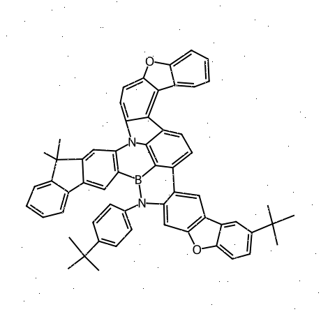 CC(C)(C)c1ccc(N2B3c4cc5c(cc4-n4c6ccc7oc8ccccc8c7c6c6ccc(c3c64)-c3cc4c(cc32)oc2ccc(C(C)(C)C)cc24)C(C)(C)c2ccccc2-5)cc1